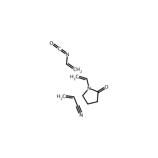 C=CC#N.C=CN1CCCC1=O.C=CN=C=O